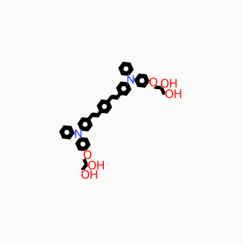 OCC(O)COc1ccc(N(c2ccccc2)c2ccc(C=Cc3ccc(C=Cc4ccc(N(c5ccccc5)c5ccc(OCC(O)CO)cc5)cc4)cc3)cc2)cc1